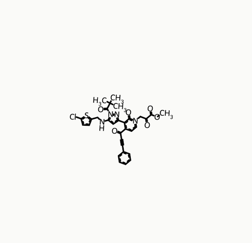 COC(=O)C(=O)Cn1ccc(C(=O)C#Cc2ccccc2)c(-c2cc(NCc3ccc(Cl)s3)n(C(=O)C(C)(C)C)n2)c1=O